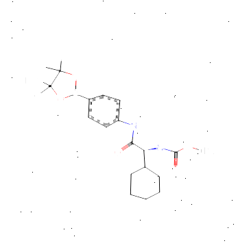 CC(C)(C)OC(=O)N[C@H](C(=O)Nc1ccc(B2OC(C)(C)C(C)(C)O2)cc1)C1CCCCC1